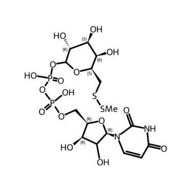 CSSC[C@H]1OC(OP(=O)(O)OP(=O)(O)OC[C@H]2O[C@@H](n3ccc(=O)[nH]c3=O)C(O)[C@H]2O)[C@H](O)[C@@H](O)[C@H]1O